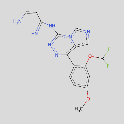 COc1ccc(-c2nnc(NC(=N)/C=C\N)n3cncc23)c(OC(F)F)c1